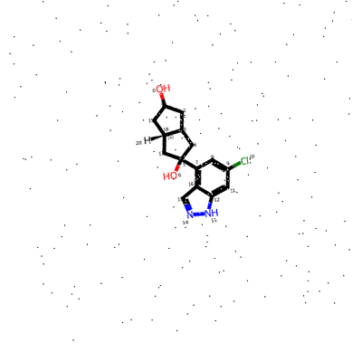 OC1CC2CC(O)(c3cc(Cl)cc4[nH]ncc34)C[C@@H]2C1